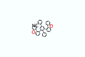 N#Cc1ccccc1-c1cc(-c2cccc3oc4ccccc4c23)c(-c2ccccc2)c(-c2cccc3oc4ccccc4c23)c1